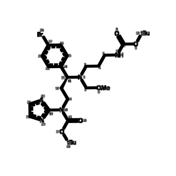 COCN(CCCNC(=O)OC(C)(C)C)[C@@H](CCN(C(=O)OC(C)(C)C)c1nccs1)c1ccc(Br)cc1